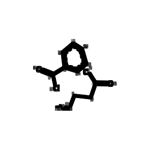 CCCCCCCCCCCC(=O)Cl.O=C(Cl)c1ccccc1